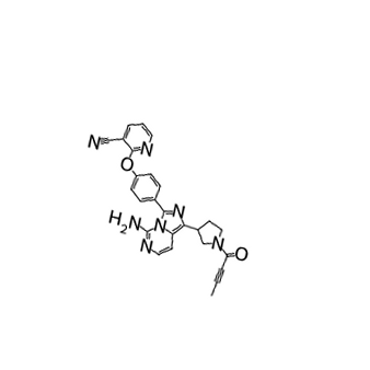 CC#CC(=O)N1CCC(c2nc(-c3ccc(Oc4ncccc4C#N)cc3)n3c(N)nccc23)C1